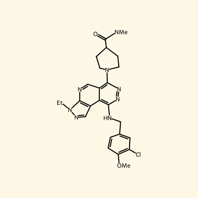 CCn1ncc2c3c(NCc4ccc(OC)c(Cl)c4)nnc(N4CCC(C(=O)NC)CC4)c3cnc21